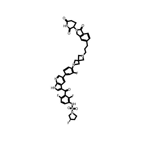 O=C1CCC(N2Cc3cc(CCCN4CC5(C4)CN(c4ccc(-c6cnc7[nH]cc(C(=O)c8c(F)ccc(NS(=O)(=O)N9CC[C@@H](F)C9)c8F)c7c6)cc4F)C5)ccc3C2=O)C(=O)N1